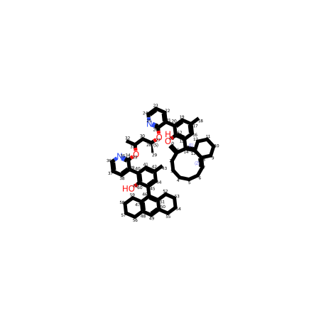 C=C1CCCCC/C=C2/CCCC/C2=C/1c1cc(C)cc(-c2cccnc2O[C@@H](C)CC(C)Oc2ncccc2-c2cc(C)cc(-c3c4c(cc5c3CCCC5)CCCC4)c2O)c1O